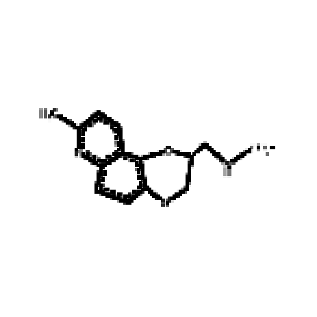 Cc1ccc2c3c(ccc2n1)OC[C@H](CNC(=O)O)O3